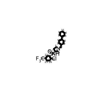 [O-][S@+](N[C@@H]1CCN(Cc2ccc(-c3ccccc3)cc2)C1)c1cc(C(F)(F)F)ccc1Cl